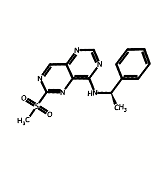 C[C@@H](Nc1ncnc2cnc(S(C)(=O)=O)nc12)c1ccccc1